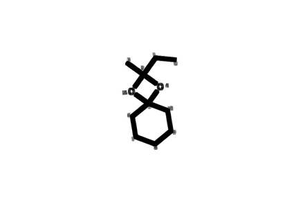 CCC1(C)OC2(CCCCC2)O1